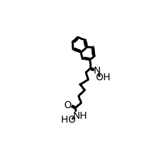 O=C(CCCCCCC(=NO)c1ccc2ccccc2c1)NO